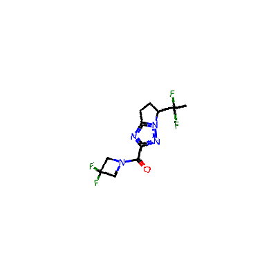 CC(F)(F)C1CCc2nc(C(=O)N3CC(F)(F)C3)nn21